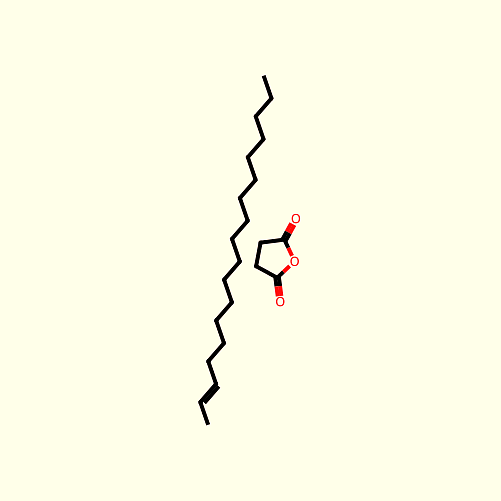 CC=CCCCCCCCCCCCCCCC.O=C1CCC(=O)O1